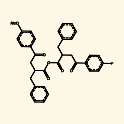 COc1ccc(C(=O)CC(Cc2ccccc2)C(=O)OC(=O)C(CC(=O)c2ccc(F)cc2)Cc2ccccc2)cc1